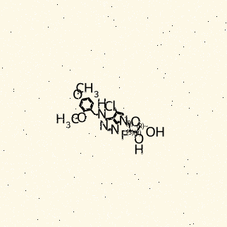 COc1ccc(CNc2ncnc3c2c(Cl)cn3[C@@H]2O[C@H](CO)[C@@H](O)[C@@H]2F)c(OC)c1